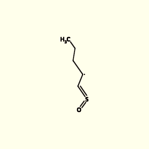 CCC[CH]C=S=O